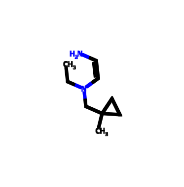 CCN(/C=C\N)CC1(C)CC1